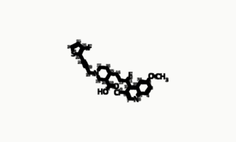 COc1ccc2ncc(Cl)c(C(F)CCC3CCN(CC#Cc4sccc4F)CC3C(=O)O)c2c1